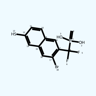 C=P(O)(O)C(F)(F)c1cc2ccc(S)cc2cc1Br